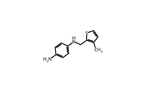 Cc1ccsc1CNc1ccc(N)cc1